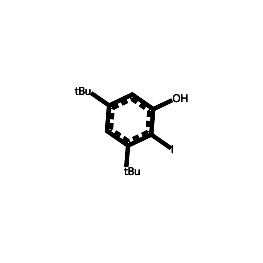 CC(C)(C)c1cc(O)c(I)c(C(C)(C)C)c1